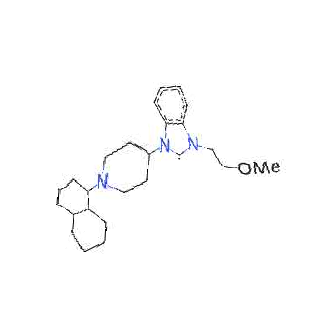 COCCN1[CH]N(C2CCN(C3CCCC4CCCCC43)CC2)c2ccccc21